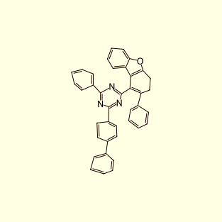 c1ccc(C2=C(c3nc(-c4ccccc4)nc(-c4ccc(-c5ccccc5)cc4)n3)c3c(oc4ccccc34)CC2)cc1